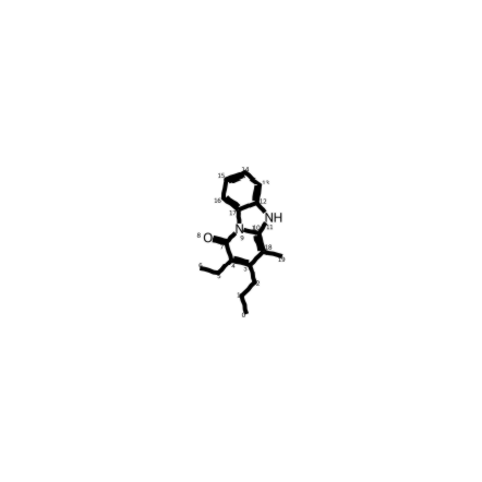 CCCc1c(CC)c(=O)n2c([nH]c3ccccc32)c1C